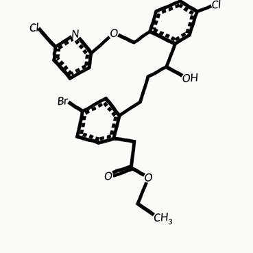 CCOC(=O)Cc1ccc(Br)cc1CCC(O)c1cc(Cl)ccc1COc1cccc(Cl)n1